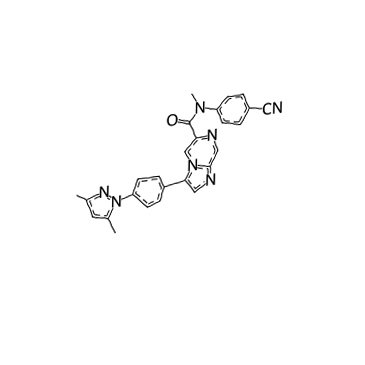 Cc1cc(C)n(-c2ccc(-c3cnc4cnc(C(=O)N(C)c5ccc(C#N)cc5)cn34)cc2)n1